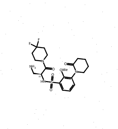 COc1c(N2CCCCC2=O)cccc1S(=O)(=O)N[C@@H](CN)C(=O)N1CCC(F)(F)CC1